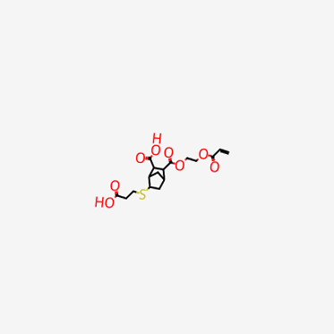 C=CC(=O)OCCOC(=O)C1C2CC(SCCC(=O)O)C(C2)C1C(=O)O